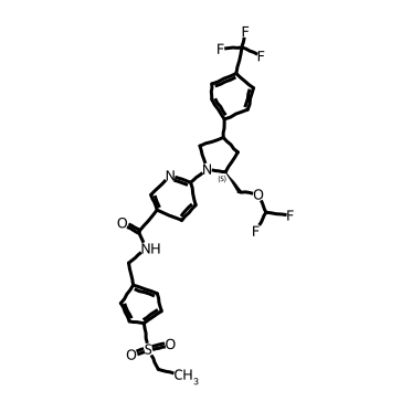 CCS(=O)(=O)c1ccc(CNC(=O)c2ccc(N3CC(c4ccc(C(F)(F)F)cc4)C[C@H]3COC(F)F)nc2)cc1